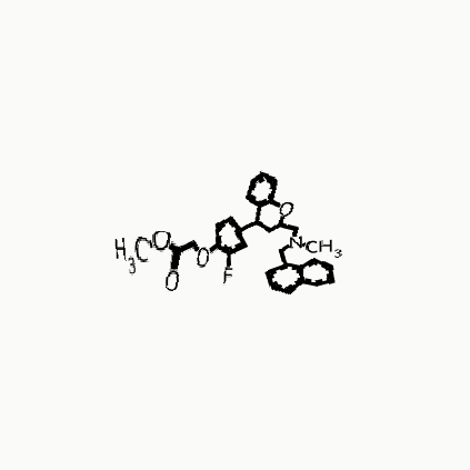 COC(=O)COc1ccc(C2CC(CN(C)Cc3cccc4ccccc34)Oc3ccccc32)cc1F